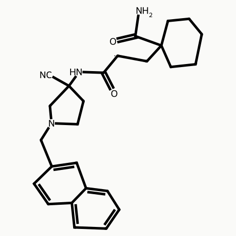 N#CC1(NC(=O)[CH]CC2(C(N)=O)CCCCC2)CCN(Cc2ccc3ccccc3c2)C1